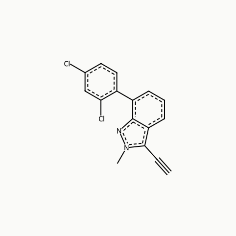 C#Cc1c2cccc(-c3ccc(Cl)cc3Cl)c2nn1C